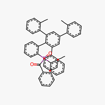 Cc1ccccc1-c1cc(-c2ccccc2C)c(-c2ccccc2P(=O)(C(=O)c2ccccc2)c2ccccc2)c(-c2ccccc2C)c1